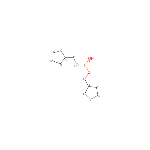 OP(OCC1CCCC1)OCC1CCCC1